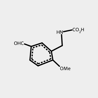 COc1ccc(C=O)cc1CNC(=O)O